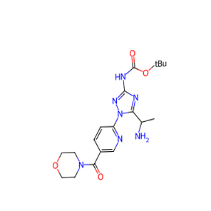 CC(N)c1nc(NC(=O)OC(C)(C)C)nn1-c1ccc(C(=O)N2CCOCC2)cn1